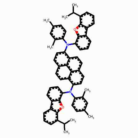 Cc1ccc(N(c2ccc3ccc4c(N(c5ccc(C)cc5C)c5cccc6c5oc5c(C(C)C)cccc56)ccc5ccc2c3c54)c2cccc3c2oc2c(C(C)C)cccc23)c(C)c1